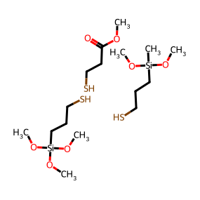 COC(=O)CCS.CO[Si](C)(CCCS)OC.CO[Si](CCCS)(OC)OC